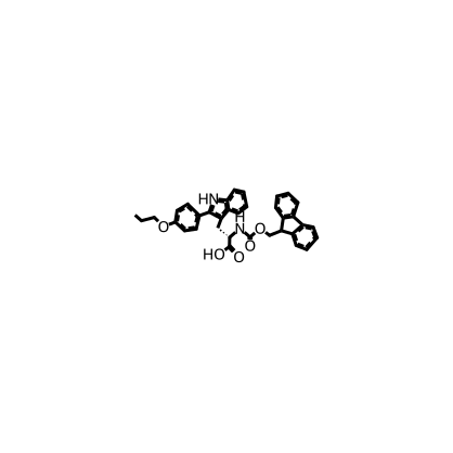 CCCOc1ccc(-c2[nH]c3ccccc3c2C[C@H](NC(=O)OCC2c3ccccc3-c3ccccc32)C(=O)O)cc1